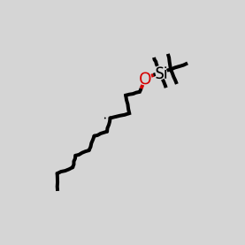 CCCCCCC[CH]CCCO[Si](C)(C)C(C)(C)C